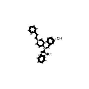 CCn1c(N(Cc2ccccc2)C2CCN(CCc3ccccc3)CC2)nc2ccccc21.Cl.Cl